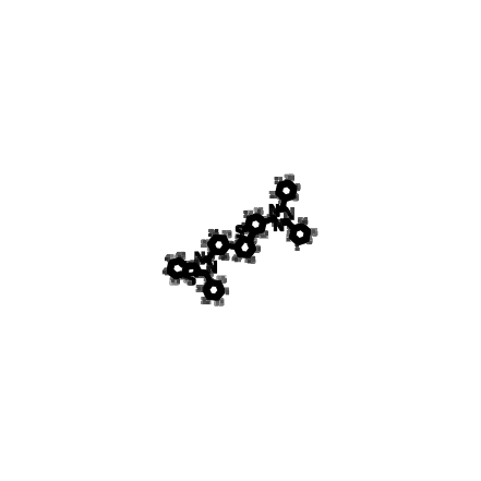 c1ccc(-c2nc(-c3ccccc3)nc(-c3ccc4sc5c(-c6cccc(-c7nc(-c8ccccc8)c8sc9ccccc9c8n7)c6)cccc5c4c3)n2)cc1